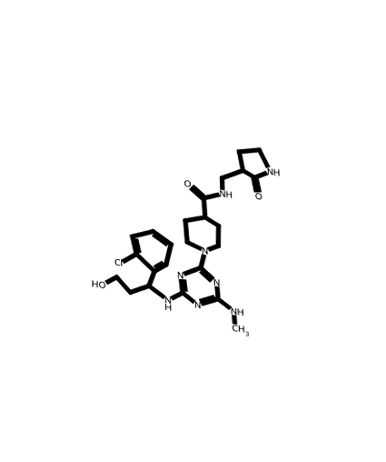 CNc1nc(NC(CCO)c2ccccc2Cl)nc(N2CCC(C(=O)NCC3CCNC3=O)CC2)n1